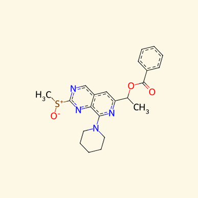 CC(OC(=O)c1ccccc1)c1cc2cnc([S+](C)[O-])nc2c(N2CCCCC2)n1